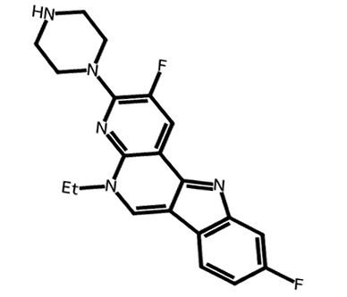 CCn1cc2c3ccc(F)cc3nc-2c2cc(F)c(N3CCNCC3)nc21